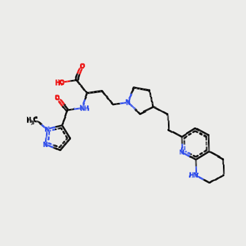 Cn1nccc1C(=O)NC(CCN1CCC(CCc2ccc3c(n2)NCCC3)C1)C(=O)O